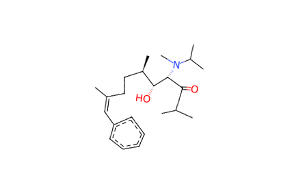 CC(=Cc1ccccc1)CC[C@@H](C)[C@@H](O)[C@@H](C(=O)C(C)C)N(C)C(C)C